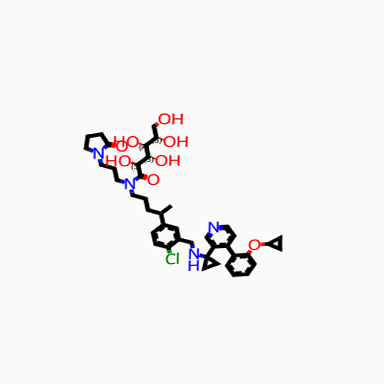 CC(CCCN(CCCN1CCCC1=O)C(=O)[C@@H](O)[C@@H](O)[C@H](O)[C@@H](O)CO)c1ccc(Cl)c(CNC2(c3cnccc3-c3ccccc3OC3CC3)CC2)c1